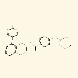 Cc1ncc(-c2cccc3c2C[C@H](NC(=O)c2ccc(OC4CCCOC4)nc2)CC3)cn1